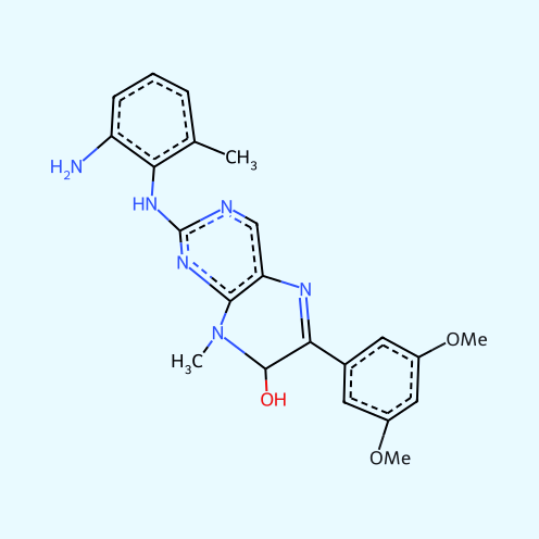 COc1cc(OC)cc(C2=Nc3cnc(Nc4c(C)cccc4N)nc3N(C)C2O)c1